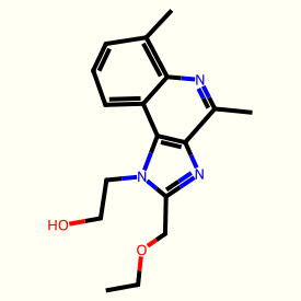 CCOCc1nc2c(C)nc3c(C)cccc3c2n1CCO